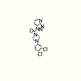 O=C(N1CCN(c2ccc(Cl)c(Cl)c2)CC1)n1nnc2ncccc21